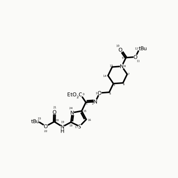 CCOC(=O)/C(=N\OCC1CCN(C(=O)OC(C)(C)C)CC1)c1csc(NC(=O)OC(C)(C)C)n1